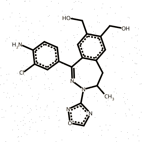 CC1Cc2cc(CO)c(CO)cc2C(c2ccc(N)c(Cl)c2)=NN1c1ncon1